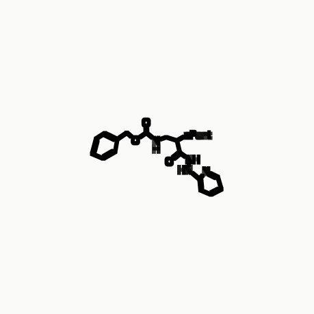 CCCCCC(CNC(=O)OCc1ccccc1)C(=O)NNc1ccccn1